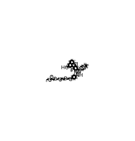 CCOC(=O)COCCOCCOCCOc1ccc(Nc2nc(N3CCN(C(C)(C)C)CC3)c3cc(Cl)c(-c4cc(O)cc5ccccc45)c(F)c3n2)cc1